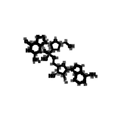 Nc1nc2c(nnn2[C@@H]2O[C@H](CO)C[C@H]2P(O)(=S)OC[C@H]2O[C@@H](n3ccc4c(N)ncnc43)[C@@H](F)[C@@H]2O)c(=O)[nH]1